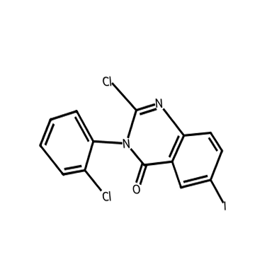 O=c1c2cc(I)ccc2nc(Cl)n1-c1ccccc1Cl